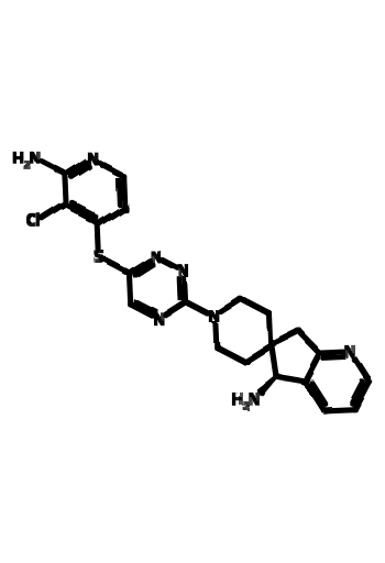 Nc1nccc(Sc2cnc(N3CCC4(CC3)Cc3ncccc3[C@H]4N)nn2)c1Cl